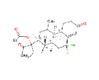 CCC(=O)OC1(C(=O)OC)C(C)C[C@H]2[C@@H]3CC(F)(F)C4=CC(=O)CC[C@]4(C)[C@@H]3C(OC(C)=O)C[C@@]21C